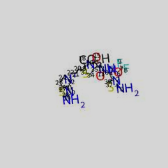 Nc1nc(C(=NOC(F)F)C(=O)NC2C(=O)N3C(C(=O)O)=C(/C=C/C[n+]4ccc5sc(N)nc5c4)SCC23)cs1